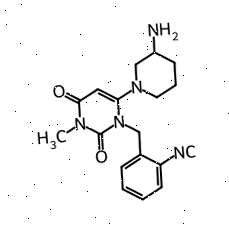 [C-]#[N+]c1ccccc1Cn1c(N2CCCC(N)C2)cc(=O)n(C)c1=O